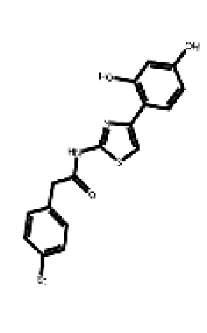 CCc1ccc(CC(=O)Nc2nc(-c3ccc(O)cc3O)cs2)cc1